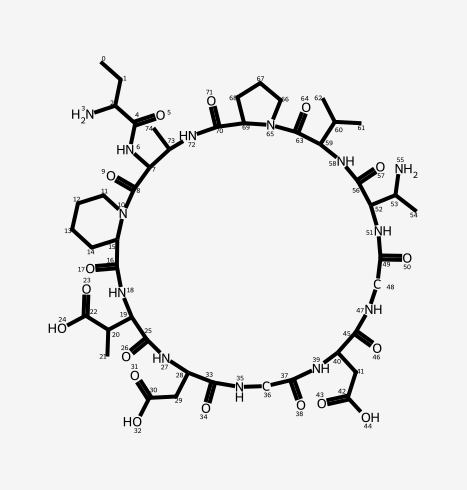 CCC(N)C(=O)NC1C(=O)N2CCCCC2C(=O)NC(C(C)C(=O)O)C(=O)NC(CC(=O)O)C(=O)NCC(=O)NC(CC(=O)O)C(=O)NCC(=O)NC(C(C)N)C(=O)NC(C(C)C)C(=O)N2CCCC2C(=O)NC1C